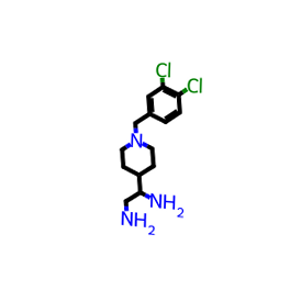 NCC(N)C1CCN(Cc2ccc(Cl)c(Cl)c2)CC1